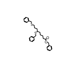 O=C(CCCCC(CCCSCc1ccccc1)SCc1ccccc1)OCc1ccccc1